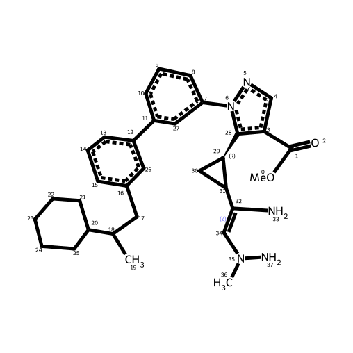 COC(=O)c1cnn(-c2cccc(-c3cccc(CC(C)C4CCCCC4)c3)c2)c1[C@@H]1CC1/C(N)=C/N(C)N